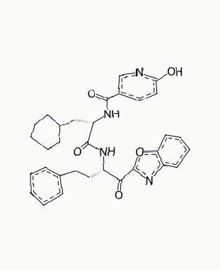 O=C(N[C@@H](CC1CCCCC1)C(=O)N[C@@H](CCc1ccccc1)C(=O)c1nc2ccccc2o1)c1ccc(O)nc1